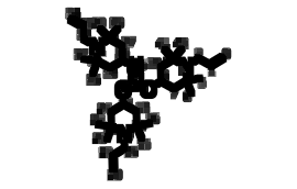 C=CCN1C(C)(C)CC(O[SiH](OC2CC(C)(C)N(CC=C)C(C)(C)C2)OC2CC(C)(C)N(CC=C)C(C)(C)C2)CC1(C)C